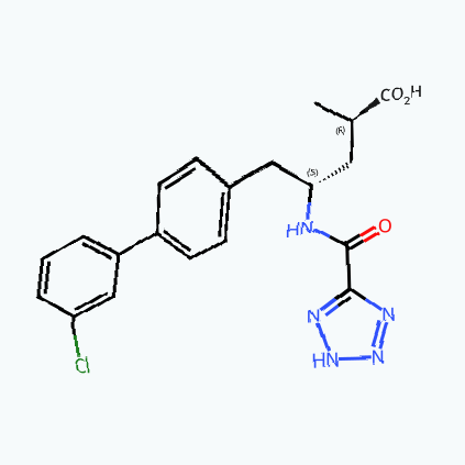 C[C@H](C[C@@H](Cc1ccc(-c2cccc(Cl)c2)cc1)NC(=O)c1nn[nH]n1)C(=O)O